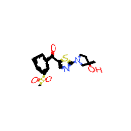 CC1(O)CCN(c2ncc(C(=O)c3cccc(S(C)(=O)=O)c3)s2)C1